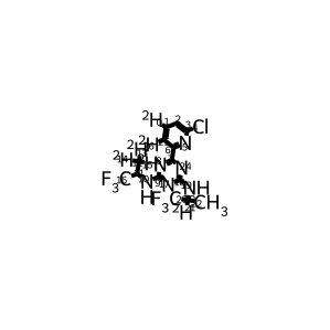 [2H]c1cc(Cl)nc(-c2nc(NC(C([2H])([2H])[2H])C(F)(F)F)nc(NC([2H])(C)C(F)(F)F)n2)c1[2H]